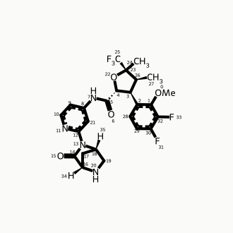 COc1c([C@H]2[C@H](C(=O)Nc3ccnc(N4C(=O)[C@@H]5C[C@H]4CN5)c3)O[C@@](C)(C(F)(F)F)[C@H]2C)ccc(F)c1F